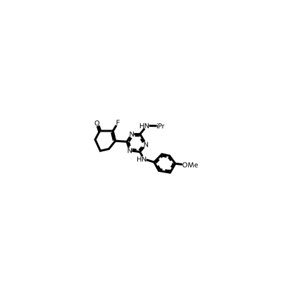 COc1ccc(Nc2nc(NC(C)C)nc(C3=C(F)C(=O)CCC3)n2)cc1